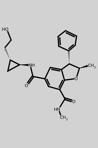 CNC(=O)c1cc(C(=O)N[C@H]2C[C@@H]2CCO)cc2c1O[C@H](C)[C@H]2c1ccccc1